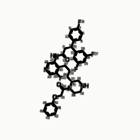 O=C(C[C@@H](c1ccc(F)cc1)c1cc(F)cc(F)c1)Nc1cncc(F)c1CCC[C@H]1CNCCN1C(=O)COc1ccccc1